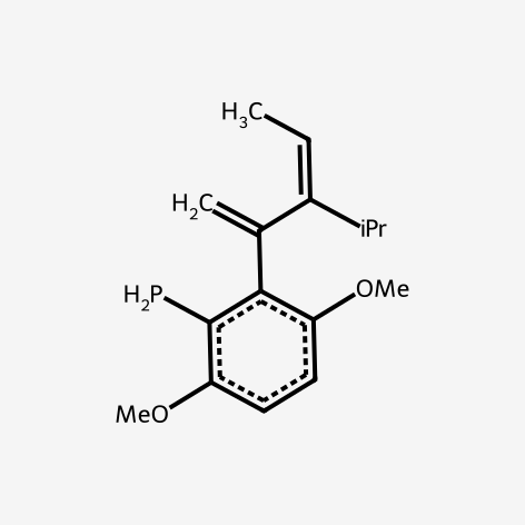 C=C(/C(=C\C)C(C)C)c1c(OC)ccc(OC)c1P